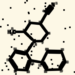 CC1CC(C#N)CCN1c1ccccc1-c1ccccc1